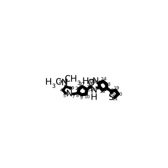 CN(C)C1CCN(Cc2ccc(C(=O)Nc3cc(-c4cccs4)ccc3N)cc2)C1